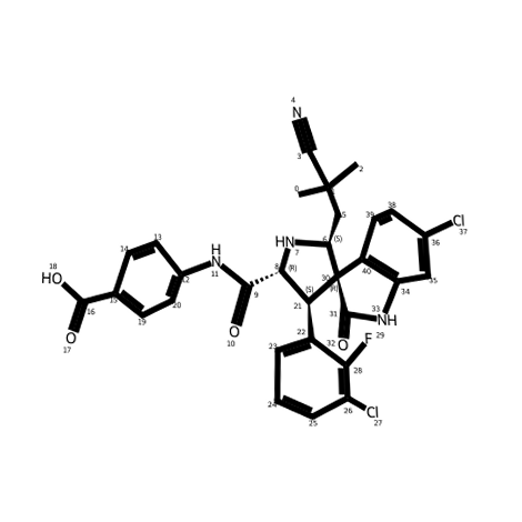 CC(C)(C#N)C[C@@H]1N[C@@H](C(=O)Nc2ccc(C(=O)O)cc2)[C@H](c2cccc(Cl)c2F)[C@]12C(=O)Nc1cc(Cl)ccc12